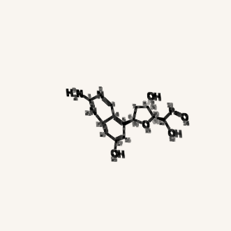 Nc1ncc2c([C@H]3C[C@H](O)[C@@H](C(O)P=O)O3)cc(O)cc2n1